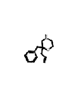 C=CCC1(Cc2ccccc2)CNCCO1